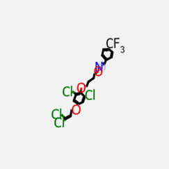 FC(F)(F)c1ccc(/C=N/OCCCCOc2c(Cl)cc(OCC=C(Cl)Cl)cc2Cl)cc1